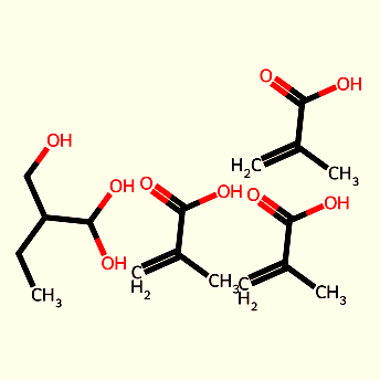 C=C(C)C(=O)O.C=C(C)C(=O)O.C=C(C)C(=O)O.CCC(CO)C(O)O